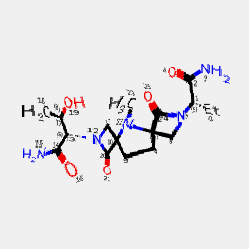 CC[C@@H](C(N)=O)N1CC2(CCC3(CN([C@H](C(N)=O)[C@@H](C)O)C3=O)N2C)C1=O